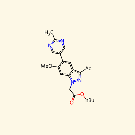 CCCCOC(=O)Cn1nc(C(C)=O)c2cc(-c3cnc(C)nc3)c(OC)cc21